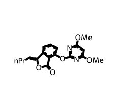 CCCC=C1OC(=O)c2c(Oc3nc(OC)cc(OC)n3)cccc21